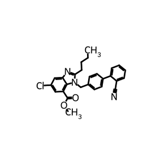 CCCCc1nc2cc(Cl)cc(C(=O)OC)c2n1Cc1ccc(-c2ccccc2C#N)cc1